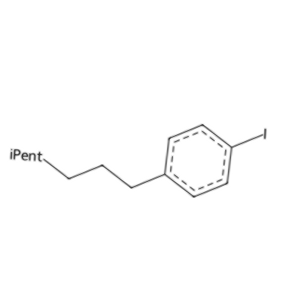 CCCC(C)CCCc1ccc(I)cc1